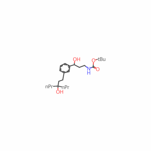 CCCC(O)(CCC)CCc1cccc(C(O)CCNC(=O)OC(C)(C)C)c1